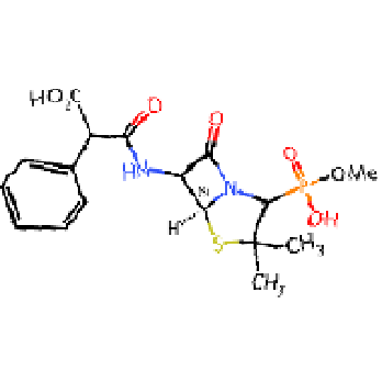 COP(=O)(O)C1N2C(=O)C(NC(=O)C(C(=O)O)c3ccccc3)[C@@H]2SC1(C)C